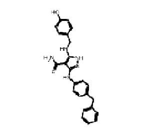 NC(=O)c1c(Nc2ccc(Cc3ccccc3)cc2)n[nH]c1NCc1ccc(O)cc1